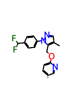 Cc1cnn(-c2ccc(C(F)F)cc2)c1COc1cc[c]cn1